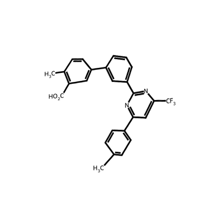 Cc1ccc(-c2cc(C(F)(F)F)nc(-c3cccc(-c4ccc(C)c(C(=O)O)c4)c3)n2)cc1